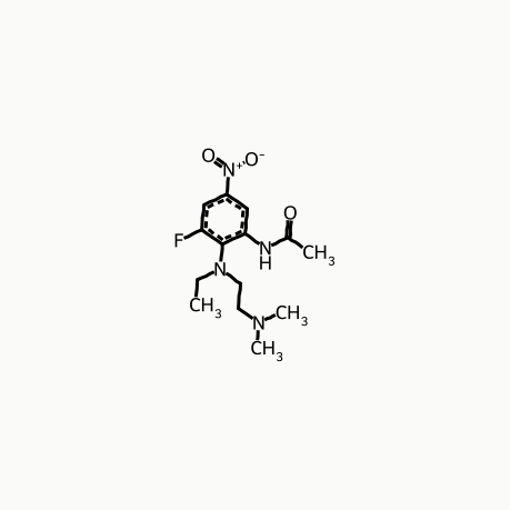 CCN(CCN(C)C)c1c(F)cc([N+](=O)[O-])cc1NC(C)=O